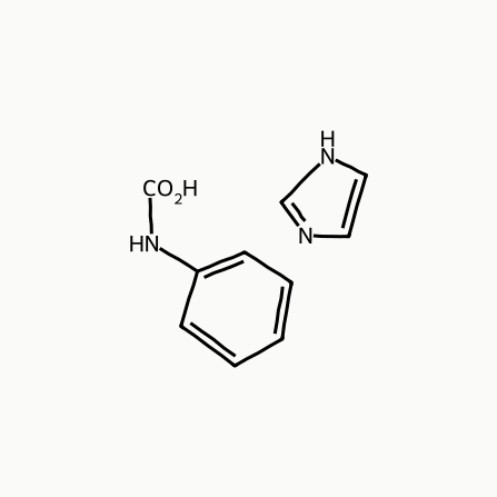 O=C(O)Nc1ccccc1.c1c[nH]cn1